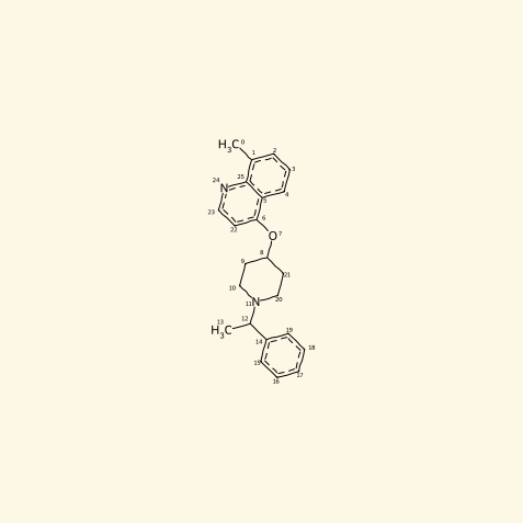 Cc1cccc2c(OC3CCN(C(C)c4ccccc4)CC3)ccnc12